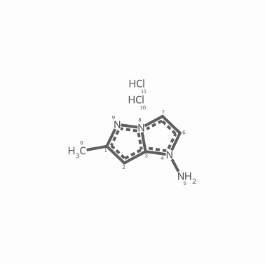 Cc1cc2n(N)ccn2n1.Cl.Cl